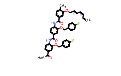 C=C/C=C\C=C\COc1cc(C(=O)Nc2ccc(C(=O)Nc3ccc(C(=O)OC)cc3OCc3ccc(F)cc3)cc2OCc2ccc(F)cc2)ccc1C